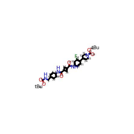 CC(C)(C)OC(=O)NCc1ccc(NC(=O)C23CC(C(=O)Nc4ccc(C5=CCN(C(=O)OC(C)(C)C)CC5)c(F)c4)(C2)C3)cc1